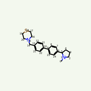 CN1CCCC1c1ccc(-c2ccc(CN3CCSCC3)cc2)cc1